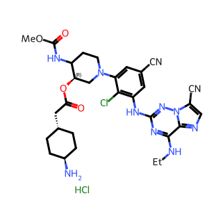 CCNc1nc(Nc2cc(C#N)cc(N3CCC(NC(=O)OC)[C@H](OC(=O)C[C@H]4CC[C@H](N)CC4)C3)c2Cl)nn2c(C#N)cnc12.Cl